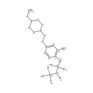 CCC1CCC(CCc2ccc(OC(F)(F)C(F)C(F)(F)F)c(Cl)c2)CC1